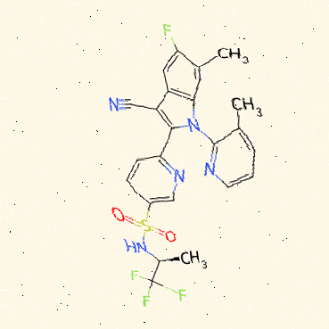 Cc1cc2c(cc1F)c(C#N)c(-c1ccc(S(=O)(=O)N[C@@H](C)C(F)(F)F)cn1)n2-c1ncccc1C